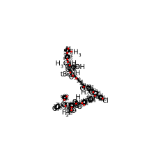 Cc1ncsc1-c1ccc([C@H](C)NC(=O)[C@@H]2C[C@@H](O)CN2C(=O)[C@@H](NC(=O)CCCCCCCC(=O)N2CCN(CC3(C)CCC(c4ccc(Cl)cc4)=C(CN4CCN(c5ccc(C(=O)NS(=O)(=O)c6ccc(N[C@H](CCN7CCOCC7)CSc7ccccc7)c(S(=O)(=O)C(F)(F)F)c6)cc5)CC4)C3)CC2)C(C)(C)C)cc1